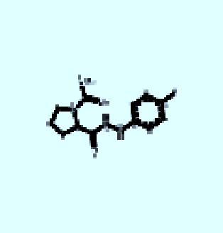 CNC(=O)N1CCCC1C(=O)NNc1ccc(C)cc1